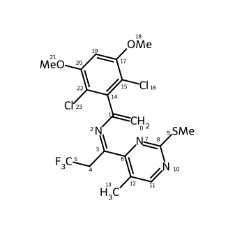 C=C(/N=C(/CC(F)(F)F)c1nc(SC)ncc1C)c1c(Cl)c(OC)cc(OC)c1Cl